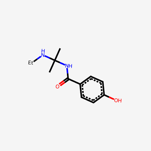 CCNC(C)(C)NC(=O)c1ccc(O)cc1